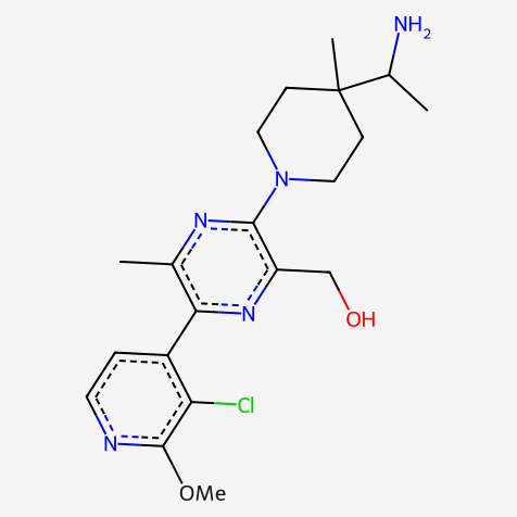 COc1nccc(-c2nc(CO)c(N3CCC(C)(C(C)N)CC3)nc2C)c1Cl